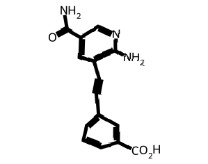 NC(=O)c1cnc(N)c(C#Cc2cccc(C(=O)O)c2)c1